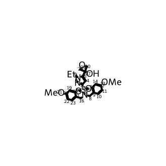 CCn1nc(S(=O)(=O)N(Cc2ccc(OC)cc2)Cc2ccc(OC)cc2)cc1C1(O)COC1